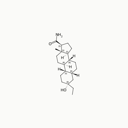 CC[C@@]1(O)CC[C@H]2[C@H](CC[C@@H]3[C@@H]2CC[C@]2(C)[C@@H](C(N)=O)CC[C@@H]32)C1